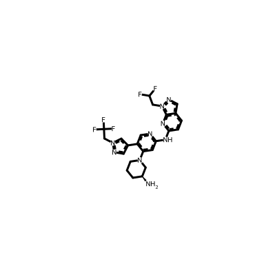 N[C@H]1CCCN(c2cc(Nc3ccc4cnn(CC(F)F)c4n3)ncc2-c2cnn(CC(F)(F)F)c2)C1